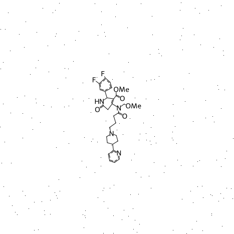 COCN(C(=O)CCCN1CCC(c2ccccn2)CC1)C1=C(C(=O)OC)C(c2ccc(F)c(F)c2)NC(=O)C1